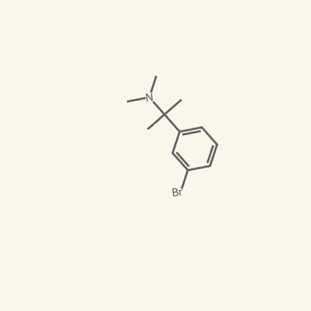 CN(C)C(C)(C)c1cccc(Br)c1